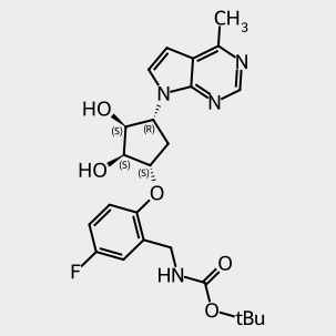 Cc1ncnc2c1ccn2[C@@H]1C[C@H](Oc2ccc(F)cc2CNC(=O)OC(C)(C)C)[C@@H](O)[C@H]1O